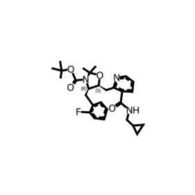 CC(C)(C)OC(=O)N1[C@H](Cc2ccccc2F)[C@H](Cc2ncccc2C(=O)NCC2CC2)OC1(C)C